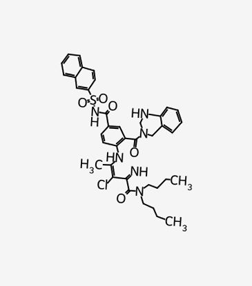 CCCCN(CCCC)C(=O)C(=N)/C(Cl)=C(/C)Nc1ccc(C(=O)NS(=O)(=O)c2ccc3ccccc3c2)cc1C(=O)N1CNc2ccccc2C1